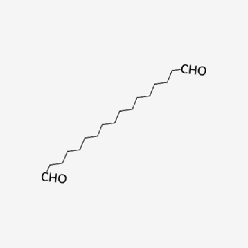 O=CCCCCCCCCCCCCCCCC=O